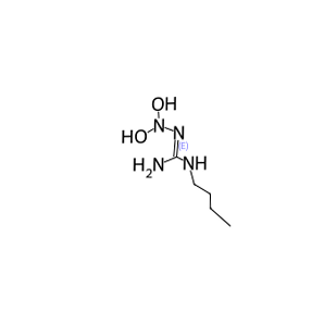 CCCCN/C(N)=N/N(O)O